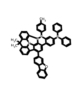 Cc1ccc(N2B3c4cccc5c4-n4c6c(cccc6c6c(-c7ccc8c(c7)oc7ccccc78)cc(c3c64)-c3ccc(N(c4ccccc4)c4ccccc4)cc32)C5(C)C)cc1